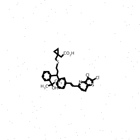 CC(C)(O)c1ccccc1C(CCSCC1(CC(=O)O)CC1)c1cccc(C=Cc2ccc3sc(Cl)c(Cl)c3n2)c1